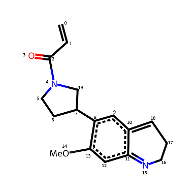 C=CC(=O)N1CCC(c2cc3c(cc2OC)=NCCC=3)C1